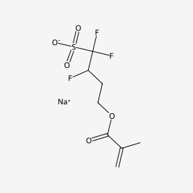 C=C(C)C(=O)OCCC(F)C(F)(F)S(=O)(=O)[O-].[Na+]